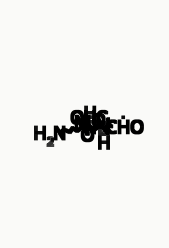 NCCCCC(N)C(=O)NCC(=O)NC([C]=O)C[C]=O